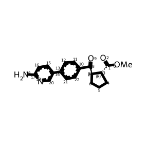 COC(=O)[C@@H]1CCC[C@H]1C(=O)c1ccc(-c2ccc(N)nc2)cc1